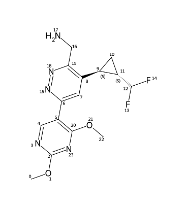 COc1ncc(-c2cc([C@H]3C[C@@H]3C(F)F)c(CN)nn2)c(OC)n1